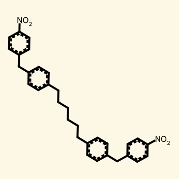 O=[N+]([O-])c1ccc(Cc2ccc(CCCCCCc3ccc(Cc4ccc([N+](=O)[O-])cc4)cc3)cc2)cc1